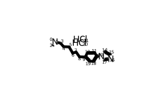 CN(C)CCCCCCc1ccc(-n2ccnc2)cc1.Cl.Cl